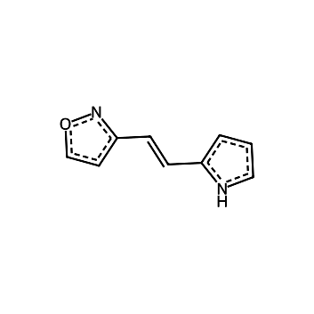 C(=Cc1ccc[nH]1)c1ccon1